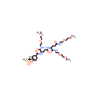 COCCOCCNC(=O)CCC(NC(=O)CCC(NC(=O)C1CCC(OP(=O)(S)C(C)(C)C)CC1)C(=O)NCCOCCOC)C(=O)NCCOCCOC